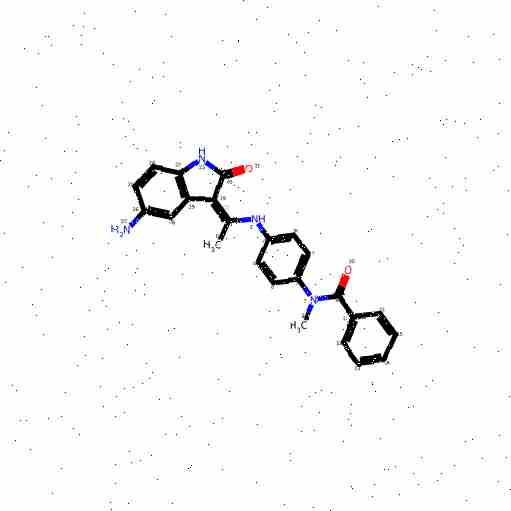 C/C(Nc1ccc(N(C)C(=O)c2ccccc2)cc1)=C1/C(=O)Nc2ccc(N)cc21